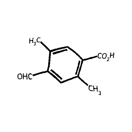 Cc1cc(C(=O)O)c(C)cc1C=O